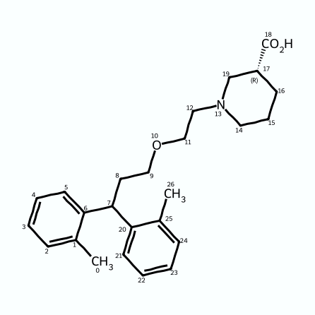 Cc1ccccc1C(CCOCCN1CCC[C@@H](C(=O)O)C1)c1ccccc1C